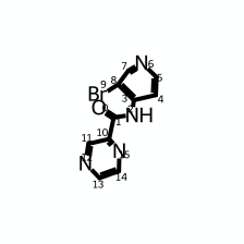 O=C(Nc1ccncc1Br)c1cnccn1